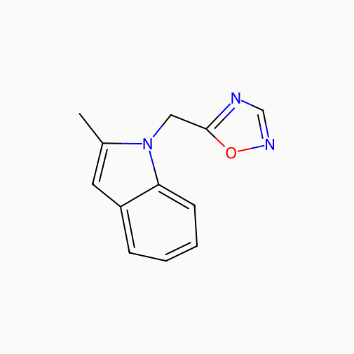 Cc1cc2ccccc2n1Cc1ncno1